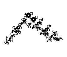 CCOC(=O)CC(SP(=S)(OC)OC)C(=O)OCC.CCOC(=O)CC(SP(=S)(OC)OC)C(=O)OCC.CCOC(=O)CC(SP(=S)(OC)OC)C(=O)OCC.Cc1cc(Cl)ccc1OCC(=O)[O-].Cc1cc(Cl)ccc1OCC(=O)[O-].S=C([S-])NCCNC(=S)[S-].S=C([S-])NCCNC(=S)[S-].[Mn+2].[Mn+2].[Mn+2]